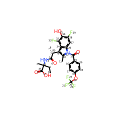 CCC(C)(NC(=O)[C@H](C)c1c(C)n(C(=O)c2ccc(OC(F)(F)F)cc2)c2cc(F)c(O)c(F)c12)C(=O)O